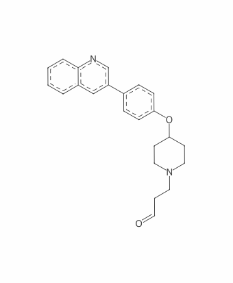 O=CCCN1CCC(Oc2ccc(-c3cnc4ccccc4c3)cc2)CC1